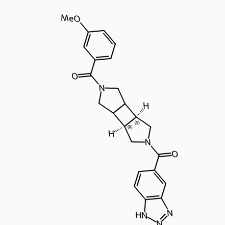 COc1cccc(C(=O)N2CC3C(C2)[C@@H]2CN(C(=O)c4ccc5[nH]nnc5c4)C[C@H]32)c1